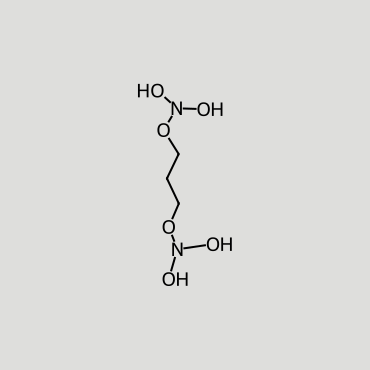 ON(O)OCCCON(O)O